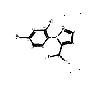 FC(F)c1[c]cnn1-c1ccc(Cl)cc1Cl